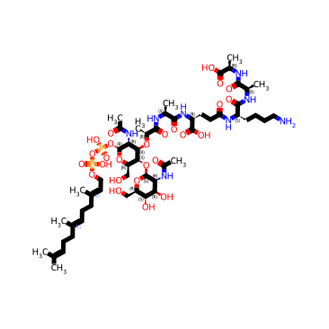 CC(=O)N[C@H]1[C@H](O[C@H]2[C@H](O[C@H](C)C(=O)N[C@@H](C)C(=O)N[C@H](CCC(=O)N[C@@H](CCCCN)C(=O)N[C@H](C)C(=O)N[C@H](C)C(=O)O)C(=O)O)[C@@H](NC(C)=O)[C@@H](OP(=O)(O)OP(=O)(O)OC/C=C(\C)CC/C=C(\C)CCC=C(C)C)O[C@@H]2CO)O[C@H](CO)[C@@H](O)[C@@H]1O